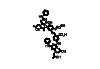 CC(O)CN(CC(C)O)c1nc(Nc2ccccc2)nc(Nc2ccc(/C=C/c3ccc(Nc4nc(Nc5ccccc5)nc(N(CC(C)O)CC(C)O)n4)cc3S(=O)(=O)O)c(SOOO)c2)n1